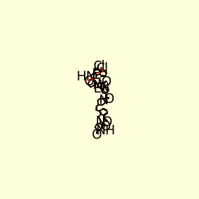 CCN1[C@@H](C(=O)N2CCC(C(=O)N3CCC(/C=C\c4cccc5c4CN(C4CCC(=O)NC4=O)C5=O)CC3)CC2)[C@H](c2cccc(Cl)c2F)[C@]2(C(=O)Nc3cc(Cl)ccc32)C12CCCCC2